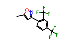 Cc1cc(-c2ccc(C(F)(F)F)cc2C(F)(F)F)no1